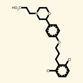 O=C(O)CCN1CCOC(c2ccc(OCCCc3c(Cl)cccc3Cl)cc2)C1